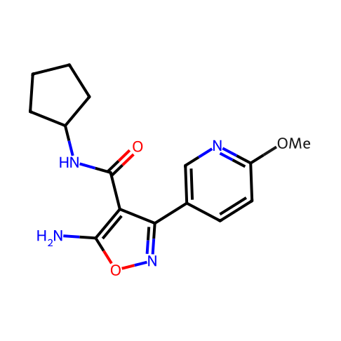 COc1ccc(-c2noc(N)c2C(=O)NC2CCCC2)cn1